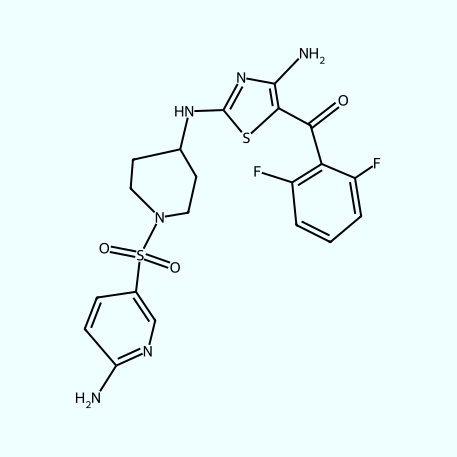 Nc1ccc(S(=O)(=O)N2CCC(Nc3nc(N)c(C(=O)c4c(F)cccc4F)s3)CC2)cn1